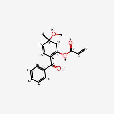 C=CC(=O)OC1=C(C(=O)c2ccccc2)C=CC(C)(OC)C1